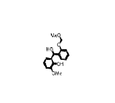 COCOc1ccccc1C(O)c1cccc(OC)c1O